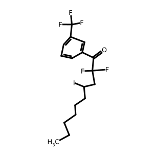 CCCCCCC(I)CC(F)(F)C(=O)c1cccc(C(F)(F)F)c1